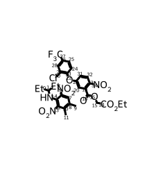 CCC(CC)Nc1c([N+](=O)[O-])cc(C)c(C)c1[N+](=O)[O-].CCOC(=O)COC(=O)c1cc(Oc2ccc(C(F)(F)F)cc2Cl)ccc1[N+](=O)[O-]